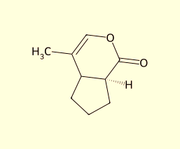 CC1=COC(=O)[C@H]2CCCC12